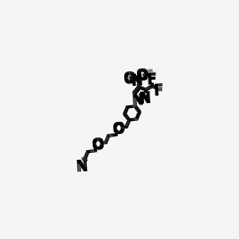 N#CCCOCCCOCC1CCC(n2cc([N+](=O)[O-])c(C(F)F)n2)CC1